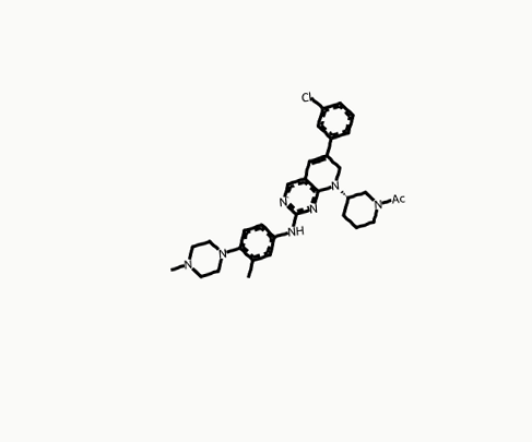 CC(=O)N1CCC[C@H](N2CC(c3cccc(Cl)c3)=Cc3cnc(Nc4ccc(N5CCN(C)CC5)c(C)c4)nc32)C1